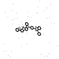 CC1(C)c2c(ccc3c2oc2ccccc23)-c2ccc3c(c21)c1ccccc1n3-c1ccc(-c2nc(-c3ccccc3)c3ccccc3n2)cc1